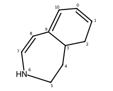 [C]1=CCC2CCNC=CC2=C1